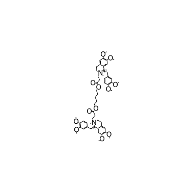 COc1ccc(C[C@@H]2c3cc(OC)c(OC)cc3CC[N+]2(C)CCC(=O)OCCCCCOC(=O)CC[N+]2(C)CCc3cc(OC)c(OC)cc3[C@@H]2Cc2ccc(OC)c(OC)c2)cc1OC